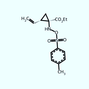 C=C[C@@H]1C[C@]1(NOS(=O)(=O)c1ccc(C)cc1)C(=O)OCC